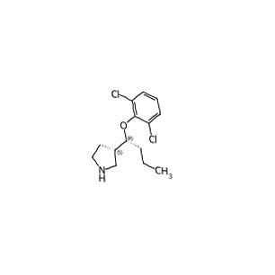 CCC[C@@H](Oc1c(Cl)cccc1Cl)[C@H]1CCNC1